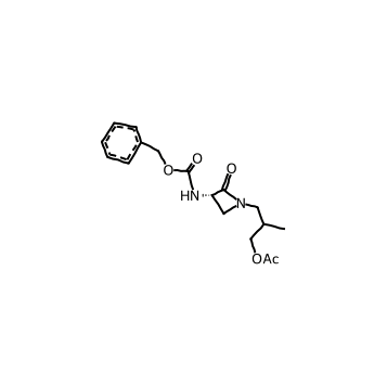 CC(=O)OCC(C)CN1C[C@H](NC(=O)OCc2ccccc2)C1=O